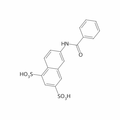 O=C(Nc1ccc2c(S(=O)(=O)O)cc(S(=O)(=O)O)cc2c1)c1ccccc1